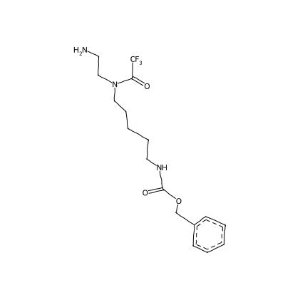 NCCN(CCCCCNC(=O)OCc1ccccc1)C(=O)C(F)(F)F